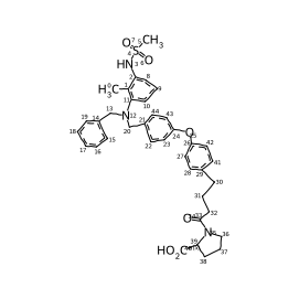 Cc1c(NS(C)(=O)=O)cccc1N(Cc1ccccc1)Cc1ccc(Oc2ccc(CCCC(=O)N3CCC[C@H]3C(=O)O)cc2)cc1